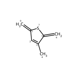 C=c1cc(C)c(=C)s1